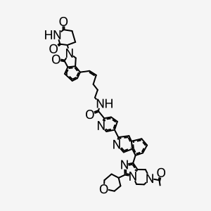 CC(=O)N1CCn2c(C3CCOCC3)nc(-c3cccc4cc(-c5ccc(C(=O)NCCC/C=C\c6cccc7c6CN(C6CCC(=O)NC6=O)C7=O)nc5)ncc34)c2C1